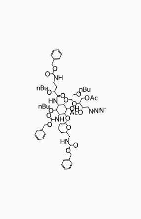 CCCCOC[C@H](OC(COC(C)=O)[C@H](CN=[N+]=[N-])OC(C)=O)O[C@@H]1C(O)C(OC2=CCCC(CNC(=O)OCc3ccccc3)O2)[C@@H](NC(=O)OCc2ccccc2)C(OCCCC)C1NC(=O)[C@H](CCNC(=O)OCc1ccccc1)OCCCC